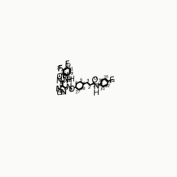 O=C(CCC1CCC(ONc2nonc2/C(=N/O)Nc2ccc(F)c(F)c2)CC1)Nc1ccc(F)cc1